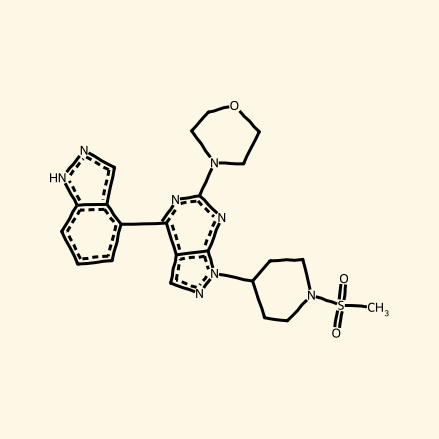 CS(=O)(=O)N1CCC(n2ncc3c(-c4cccc5[nH]ncc45)nc(N4CCOCC4)nc32)CC1